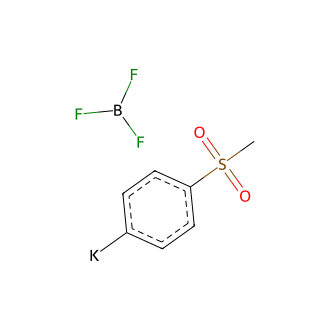 CS(=O)(=O)c1cc[c]([K])cc1.FB(F)F